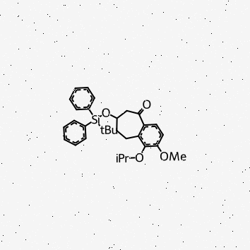 COc1ccc2c(c1OC(C)C)CCC(O[Si](c1ccccc1)(c1ccccc1)C(C)(C)C)CC2=O